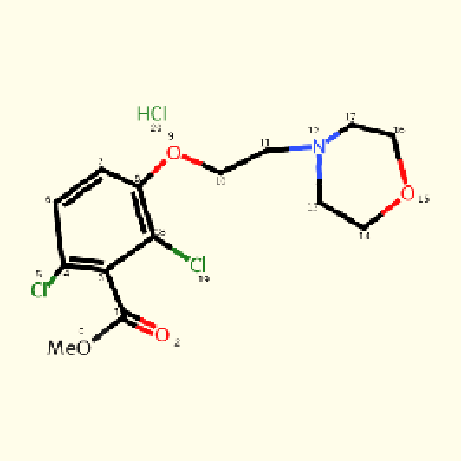 COC(=O)c1c(Cl)ccc(OCCN2CCOCC2)c1Cl.Cl